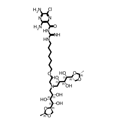 C[C@@H]1OC[C@H]([C@@H](O)[C@H](O)[C@@H](O)CN(CCOCCCCCCCNC(=N)NC(=O)c2nc(Cl)c(N)nc2N)C[C@H](O)[C@@H](O)[C@H](O)[C@H]2CO[C@@H](C)O2)O1